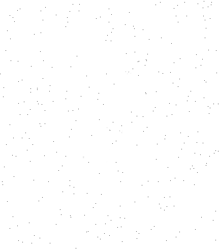 COc1ccc(Cn2cc(C(=O)C(C)Br)cn2)cc1